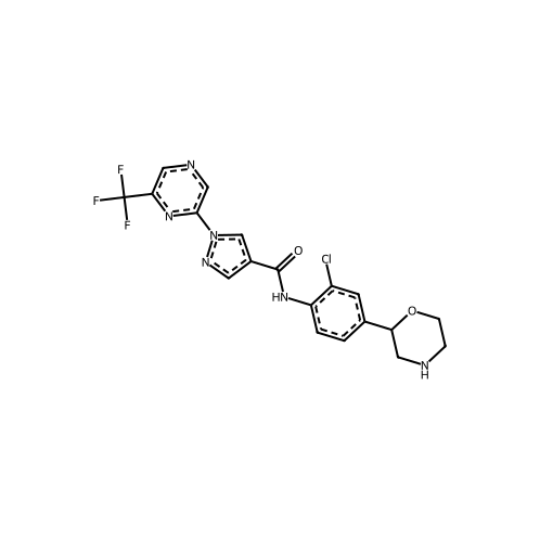 O=C(Nc1ccc(C2CNCCO2)cc1Cl)c1cnn(-c2cncc(C(F)(F)F)n2)c1